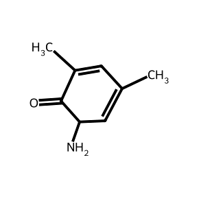 CC1=CC(N)C(=O)C(C)=C1